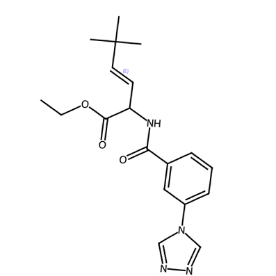 CCOC(=O)C(/C=C/C(C)(C)C)NC(=O)c1cccc(-n2cnnc2)c1